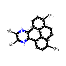 Cc1ccc2c3nc(C#N)c(C#N)nc3c3ccc(C)c4ccc1c2c43